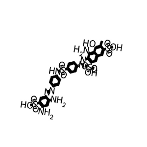 Cc1c(S(=O)(=O)O)cc2cc(S(=O)(=O)O)c(/N=N/c3ccc(S(=O)(=O)Nc4ccc(/N=N/c5cc(S(=O)(=O)O)c(N)cc5N)cc4)cc3)c(N)c2c1O